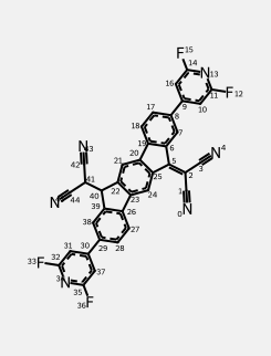 N#CC(C#N)=C1c2cc(-c3cc(F)nc(F)c3)ccc2-c2cc3c(cc21)-c1ccc(-c2cc(F)nc(F)c2)cc1C3C(C#N)C#N